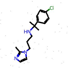 Cc1nccn1CCCNC(C)(C)c1ccc(Cl)cc1